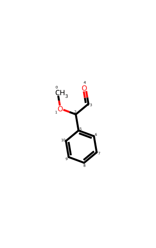 COC([C]=O)c1ccccc1